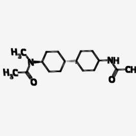 CC(=O)NC1CC[C]([C@H]2CC[C@H](N(C)C(C)=O)CC2)CC1